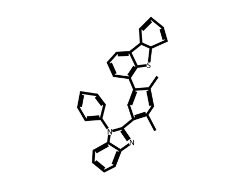 Cc1cc(C)c(-c2nc3ccccc3n2-c2ccccc2)cc1-c1cccc2c1SC1C=CC=CC21